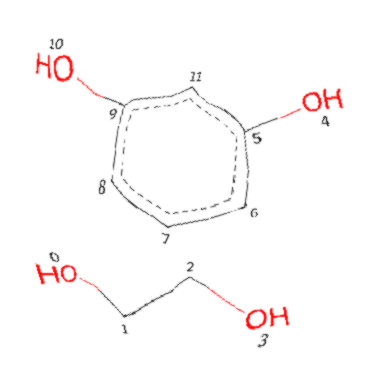 OCCO.Oc1cccc(O)c1